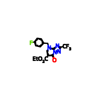 CCOC(=O)c1cn(Cc2ccc(F)cc2)c2nc(C(F)(F)F)nn2c1=O